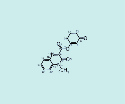 Cn1c(=O)c(C(=O)OC2=CC(=O)CCC2)nc2ccccc21